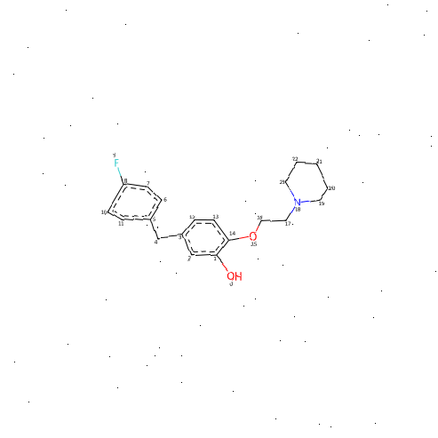 Oc1cc(Cc2ccc(F)cc2)ccc1OCCN1CCCCC1